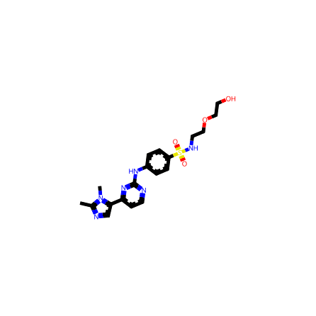 Cc1ncc(-c2ccnc(Nc3ccc(S(=O)(=O)NCCOCCO)cc3)n2)n1C